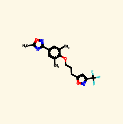 Cc1nc(-c2cc(C)c(OCCCc3cc(C(F)(F)F)no3)c(C)c2)no1